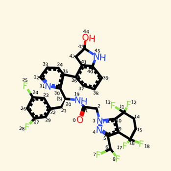 O=C(Cn1nc(C(F)F)c2c1C(F)(F)CCC2(F)F)N[C@@H](Cc1cc(F)cc(F)c1)c1ncccc1-c1cccc2c1CC(O)N2